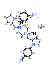 C[N+]1(CC2CCCN2c2ccc(N)cc2)CC[N+](C)(CC2CCCN2c2ccc(N)cc2)CC1.[Cl-].[Cl-]